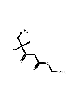 CCOC(=O)CC(=O)C(F)(F)CC